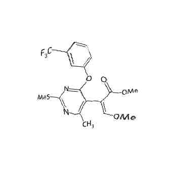 CO/C=C(\C(=O)OC)c1c(C)nc(SC)nc1Oc1cccc(C(F)(F)F)c1